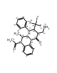 CC(=O)N1c2ccccc2N(C(=O)C(CN)C(Nc2ccccc2)C(F)(F)F)C[C@@H]1C